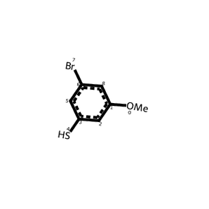 COc1cc(S)cc(Br)c1